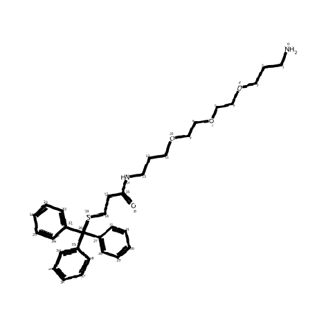 NCCCOCCOCCOCCCNC(=O)CCSC(c1ccccc1)(c1ccccc1)c1ccccc1